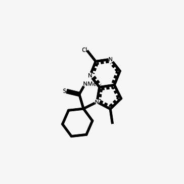 CNC(=S)C1(n2c(C)cc3cnc(Cl)nc32)CCCCC1